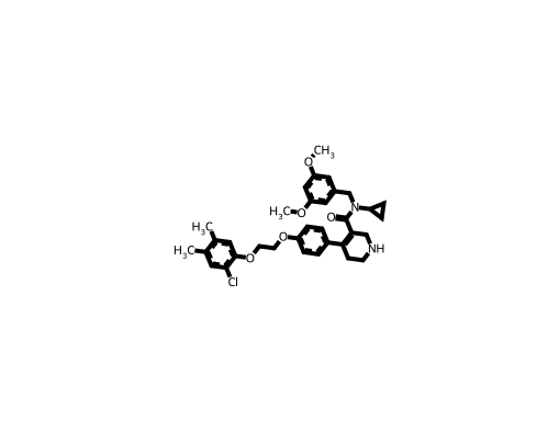 COc1cc(CN(C(=O)C2=C(c3ccc(OCCOc4cc(C)c(C)cc4Cl)cc3)CCNC2)C2CC2)cc(OC)c1